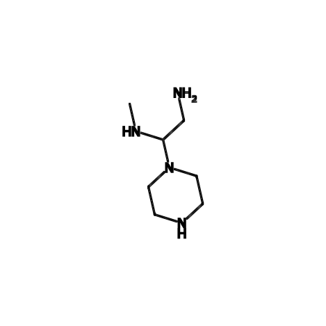 CNC(CN)N1CCNCC1